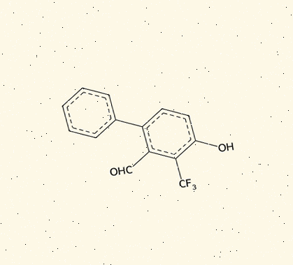 O=Cc1c(-c2ccccc2)ccc(O)c1C(F)(F)F